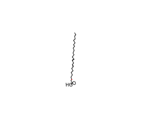 CCCCCCCCCCCCCC=CCC=CCCCCCCCC(=O)O